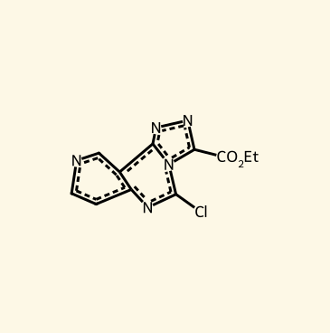 CCOC(=O)c1nnc2c3cnccc3nc(Cl)n12